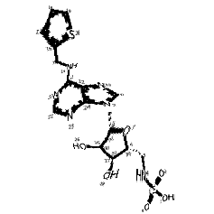 O=S(=O)(O)NC[C@H]1O[C@@H](n2cnc3c(NCc4cccs4)ncnc32)[C@H](O)[C@@H]1O